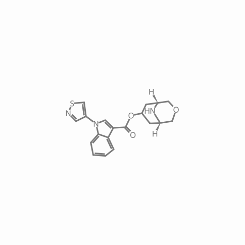 O=C(OC1C[C@H]2COC[C@@H](C1)N2)c1cn(-c2cnsc2)c2ccccc12